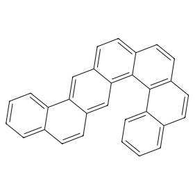 c1ccc2c(c1)ccc1cc3c(ccc4ccc5ccc6ccccc6c5c43)cc12